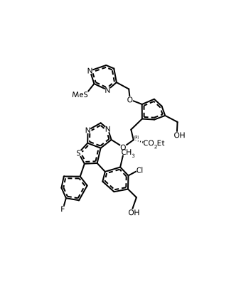 CCOC(=O)[C@@H](Cc1cc(CO)ccc1OCc1ccnc(SC)n1)Oc1ncnc2sc(-c3ccc(F)cc3)c(-c3ccc(CO)c(Cl)c3C)c12